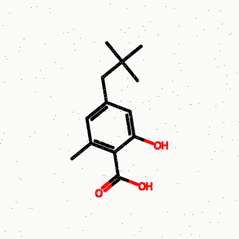 Cc1cc(CC(C)(C)C)cc(O)c1C(=O)O